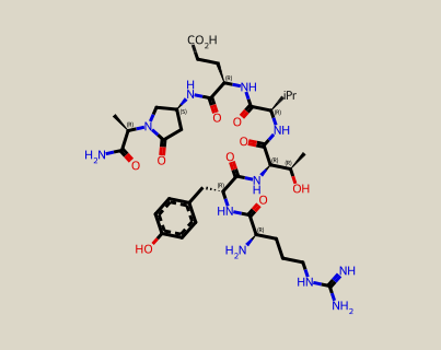 CC(C)[C@@H](NC(=O)[C@H](NC(=O)[C@@H](Cc1ccc(O)cc1)NC(=O)[C@H](N)CCCNC(=N)N)[C@@H](C)O)C(=O)N[C@H](CCC(=O)O)C(=O)N[C@H]1CC(=O)N([C@H](C)C(N)=O)C1